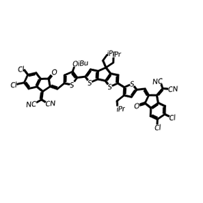 CC(C)COc1cc(/C=C2\C(=O)c3cc(Cl)c(Cl)cc3C2=C(C#N)C#N)sc1-c1cc2c(s1)-c1sc(-c3sc(/C=C4\C(=O)c5cc(Cl)c(Cl)cc5C4=C(C#N)C#N)cc3CC(C)C)cc1C2(CC(C)C)CC(C)C